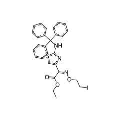 CCOC(=O)C(=NOCCI)c1csc(NC(c2ccccc2)(c2ccccc2)c2ccccc2)n1